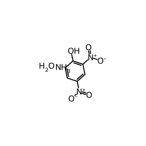 N.O.O=[N+]([O-])c1ccc(O)c([N+](=O)[O-])c1